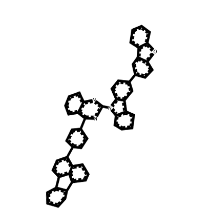 c1ccc2c(c1)-c1cccc3c(-c4ccc(-c5nc(-n6c7ccccc7c7cc(-c8ccc9oc%10ccccc%10c9c8)ccc76)nc6ccccc56)cc4)ccc-2c13